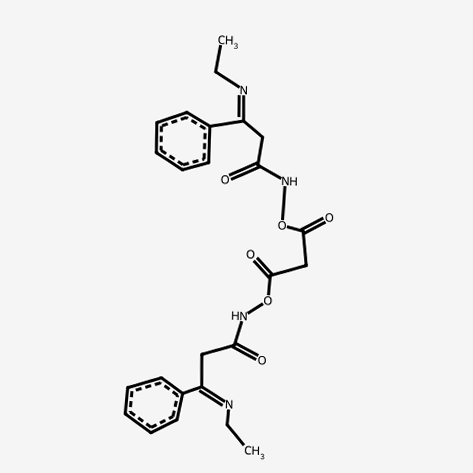 CC/N=C(/CC(=O)NOC(=O)CC(=O)ONC(=O)C/C(=N/CC)c1ccccc1)c1ccccc1